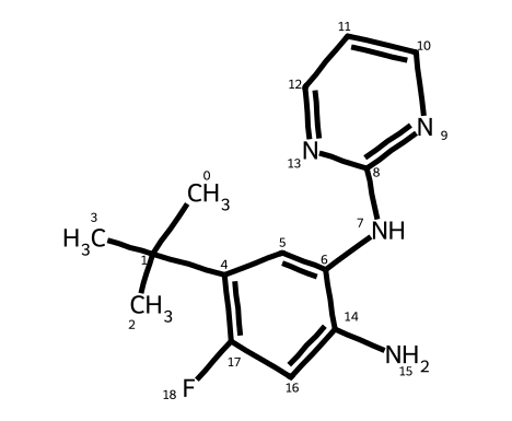 CC(C)(C)c1cc(Nc2ncccn2)c(N)cc1F